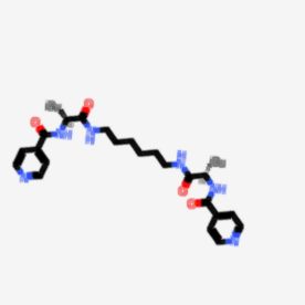 CCC(C)[C@H](NC(=O)c1ccncc1)C(=O)NCCCCCCNC(=O)[C@@H](NC(=O)c1ccncc1)C(C)CC